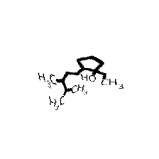 CCC1(O)CCCC1CCC(C)C(C)C